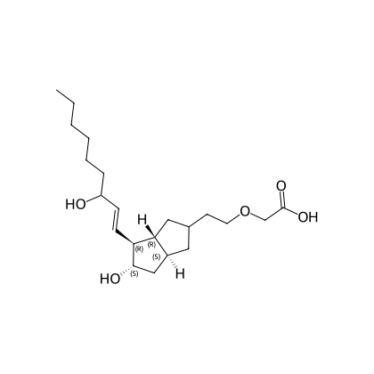 CCCCCCC(O)C=C[C@H]1[C@@H]2CC(CCOCC(=O)O)C[C@H]2C[C@@H]1O